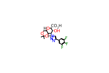 CC1(C)OC[C@H]2O[C@@H](C(=O)O)[C@H](O)[C@@H](n3cc(-c4cc(F)c(F)c(F)c4)nn3)[C@H]2O1